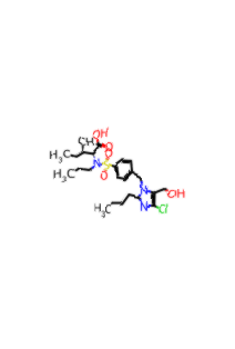 CCCCc1nc(Cl)c(CO)n1Cc1ccc(S(=O)(=O)N(CCC)[C@@H](C(=O)O)[C@H](C)CC)cc1